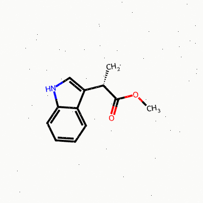 [CH2][C@H](C(=O)OC)c1c[nH]c2ccccc12